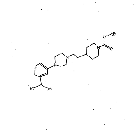 CCC(O)c1cccc(N2CCN(CCC3CCN(C(=O)OC(C)(C)C)CC3)CC2)c1